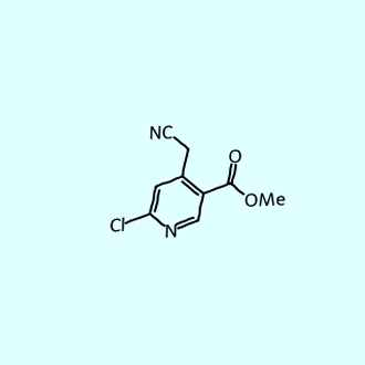 COC(=O)c1cnc(Cl)cc1CC#N